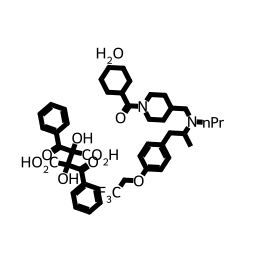 CCCN(CC1CCN(C(=O)C2CCCCC2)CC1)C(C)Cc1ccc(OCC(F)(F)F)cc1.O.O=C(O)C(O)(C(=O)c1ccccc1)C(O)(C(=O)O)C(=O)c1ccccc1